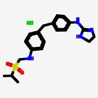 CC(C)S(=O)(=O)CNc1ccc(Cc2ccc(NC3=NCCN3)cc2)cc1.Cl